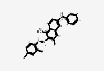 Cc1ccc(N=Nc2c(C)cc3cc(Nc4ccccc4)ccc3c2O)c(C)c1